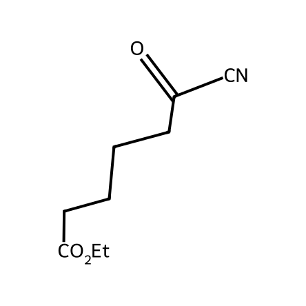 CCOC(=O)CCCCC(=O)C#N